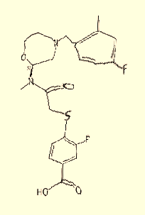 Cc1cc(F)ccc1CN1CCO[C@H](N(C)C(=O)CSc2ccc(C(=O)O)cc2F)C1